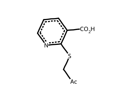 CC(=O)CSc1ncccc1C(=O)O